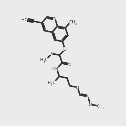 C#Cc1cnc2c(C)cc(OC(SC)C(=O)NC(C)CCO/C=N/OC)cc2c1